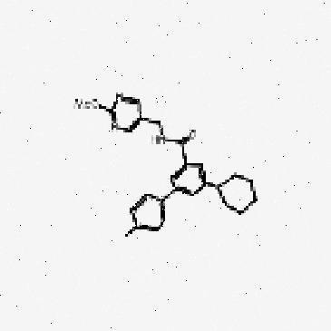 COc1ncc(CNC(=O)c2cc(-c3ccc(C)cc3)cc(C3CCCCC3)c2)cn1